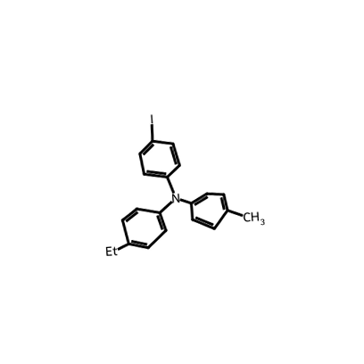 CCc1ccc(N(c2ccc(C)cc2)c2ccc(I)cc2)cc1